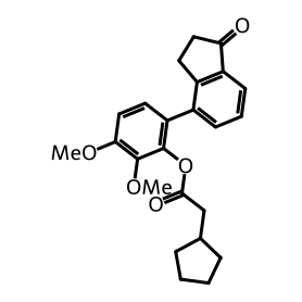 COc1ccc(-c2cccc3c2CCC3=O)c(OC(=O)CC2CCCC2)c1OC